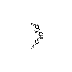 NC(=O)Cc1ccc(CNc2ncnc(N(CC3C=CC(C(F)(F)F)=CC3)C3CC3)c2F)nc1